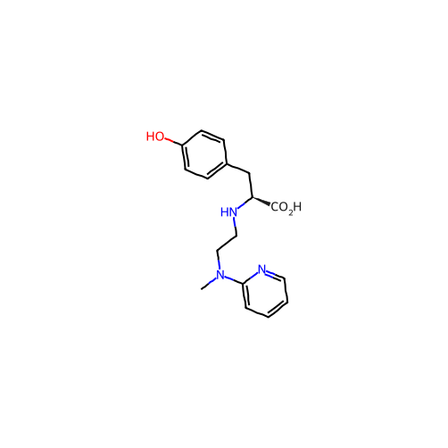 CN(CCN[C@@H](Cc1ccc(O)cc1)C(=O)O)c1ccccn1